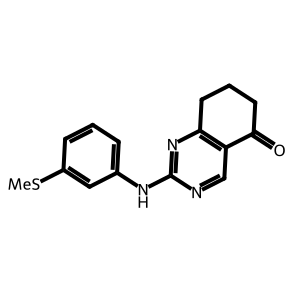 CSc1cccc(Nc2ncc3c(n2)CCCC3=O)c1